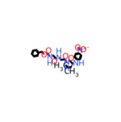 CC(C)C[C@H](Nc1ccc([N+](=O)[O-])cc1)C(=O)NC(=O)CNC(=O)CNC(=O)OCc1ccccc1